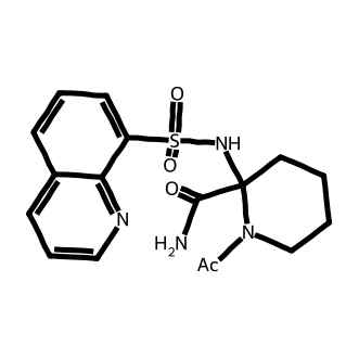 CC(=O)N1CCCCC1(NS(=O)(=O)c1cccc2cccnc12)C(N)=O